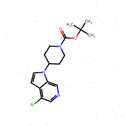 CC(C)(C)OC(=O)N1CCC(n2ccc3c(Br)cncc32)CC1